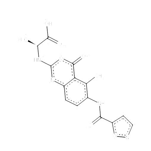 Cc1c(NC(=O)c2ccno2)ccc2nc(N[C@@H](C)C(=O)O)oc(=O)c12